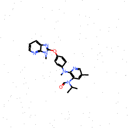 Cc1cnc(N(C)c2ccc(Oc3nc4cccnc4n3C)cc2)c(N(C=O)C(C)C)c1